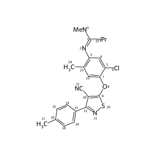 CNC(=Nc1cc(Cl)c(Oc2snc(-c3ccc(C)cc3)c2C#N)cc1C)C(C)C